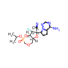 CC(C)OP1(=O)COC[C@H]2O[C@@](C#N)(c3ccc4c(N)ncnn34)[C@](C)(F)[C@@H]2O1